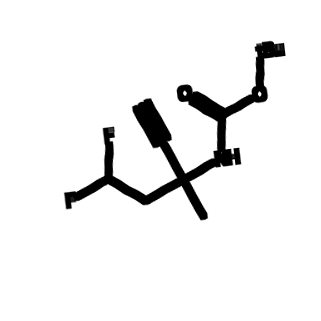 C#CC(C)(CC(F)F)NC(=O)OC(C)(C)C